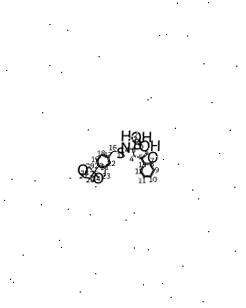 OB(O)C(Cc1coc2ccccc12)NSCc1ccc2c(c1)COC21CCOC1